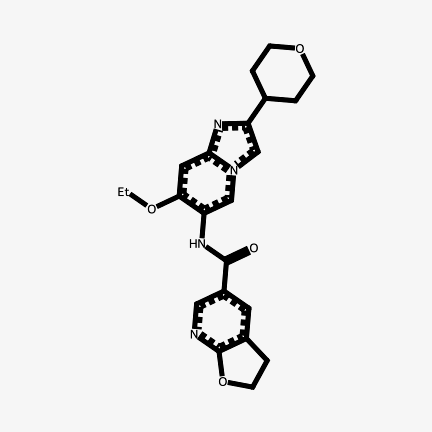 CCOc1cc2nc(C3CCOCC3)cn2cc1NC(=O)c1cnc2c(c1)CCO2